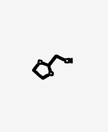 N#CCC1OCCO1